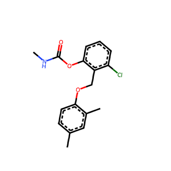 CNC(=O)Oc1cccc(Cl)c1COc1ccc(C)cc1C